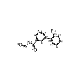 O=S=NC(=O)c1cncc(-c2ccccc2F)c1